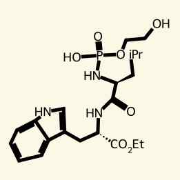 CCOC(=O)[C@H](Cc1c[nH]c2ccccc12)NC(=O)[C@H](CC(C)C)NP(=O)(O)OCCO